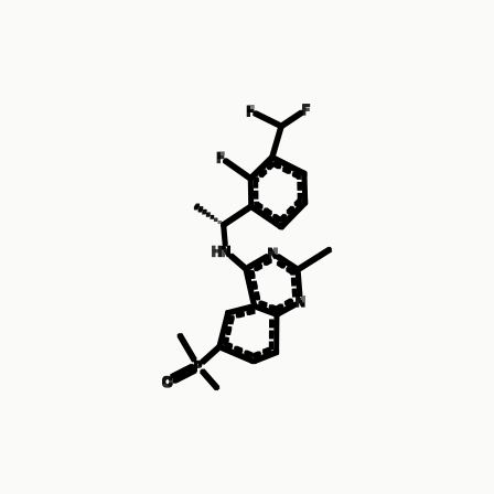 Cc1nc(N[C@H](C)c2cccc(C(F)F)c2F)c2cc(P(C)(C)=O)ccc2n1